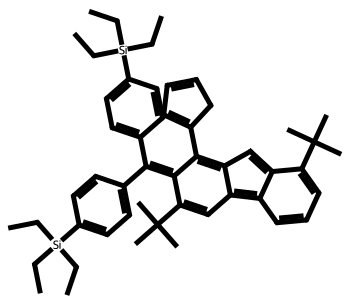 CC[Si](CC)(CC)c1ccc(C(c2ccc([Si](CC)(CC)CC)cc2)=c2c(C(C)(C)C)cc3c(c2C2=CC=CC2)[C]=c2c(C(C)(C)C)cccc2=3)cc1